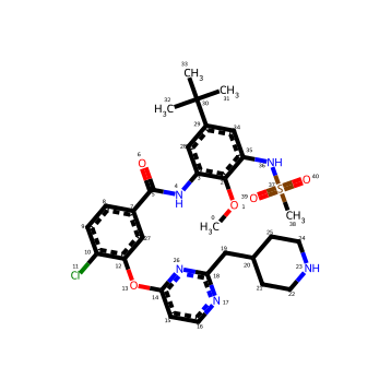 COc1c(NC(=O)c2ccc(Cl)c(Oc3ccnc(CC4CCNCC4)n3)c2)cc(C(C)(C)C)cc1NS(C)(=O)=O